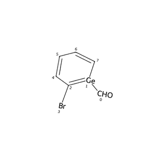 O=[CH][Ge]1=[C](Br)C=CC=[CH]1